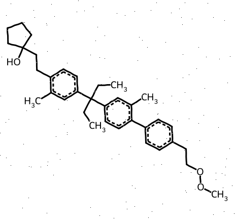 CCC(CC)(c1ccc(CCC2(O)CCCC2)c(C)c1)c1ccc(-c2ccc(CCOOC)cc2)c(C)c1